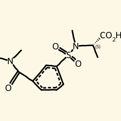 C[C@@H](C(=O)O)N(C)S(=O)(=O)c1cccc(C(=O)N(C)C)c1